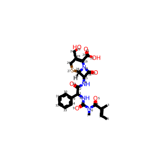 CC=C(C)C(=O)N(C)C(=O)NC(C(=O)NC1C(=O)N2C(C(=O)O)=C(CO)CS[C@@H]12)c1ccccc1